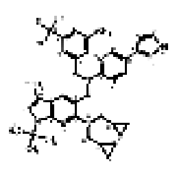 Cc1cc(CN(Cc2cc3c(C)nn(C(C)(C)C)c3nc2N(CC2CC2)CC2CC2)c2ncc(-c3cc[nH]n3)cn2)cc(C(F)(F)F)c1